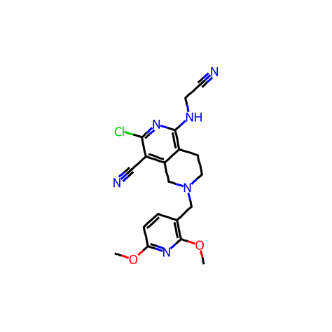 COc1ccc(CN2CCc3c(NCC#N)nc(Cl)c(C#N)c3C2)c(OC)n1